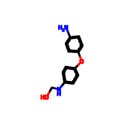 Nc1ccc(Oc2ccc(NCO)cc2)cc1